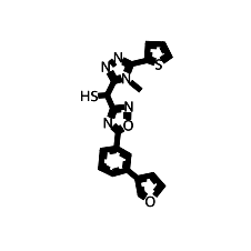 Cn1c(-c2cccs2)nnc1C(S)c1noc(-c2cccc(-c3ccoc3)c2)n1